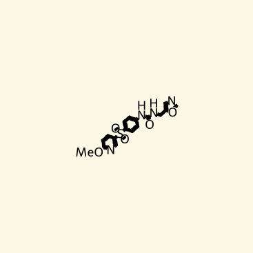 COc1ccc(S(=O)(=O)c2ccc(NC(=O)NCc3cnco3)cc2)cn1